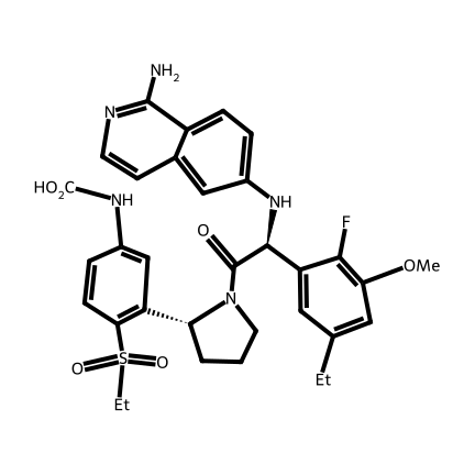 CCc1cc(OC)c(F)c([C@H](Nc2ccc3c(N)nccc3c2)C(=O)N2CCC[C@@H]2c2cc(NC(=O)O)ccc2S(=O)(=O)CC)c1